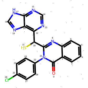 O=c1c2ccccc2nc(C(S)c2ncnc3[nH]cnc23)n1-c1ccc(Cl)cc1